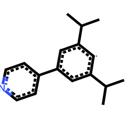 CC(C)c1[c]c(C(C)C)cc(-c2ccncc2)c1